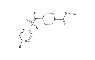 CCCN(C1CCN(C(=O)OC(C)(C)C)CC1)S(=O)(=O)c1ccc(Br)cc1